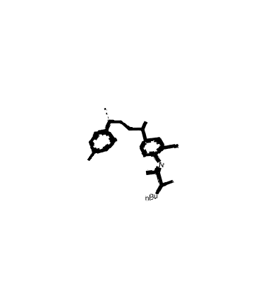 CCCCC(C)/C(C)=N/c1ccc(C(C)CC[C@@H](C)c2ccc(C)cc2)cc1C